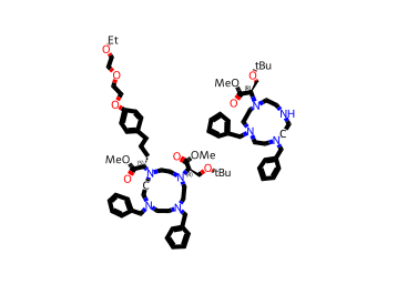 CCOCCOCCOc1ccc(CCC[C@@H](C(=O)OC)N2CCN(Cc3ccccc3)CCN(Cc3ccccc3)CCN([C@H](COC(C)(C)C)C(=O)OC)CC2)cc1.COC(=O)[C@@H](COC(C)(C)C)N1CCNCCN(Cc2ccccc2)CCN(Cc2ccccc2)CC1